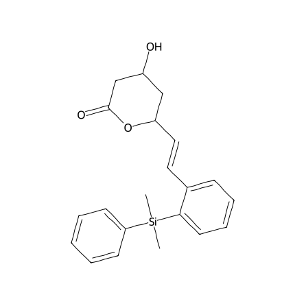 C[Si](C)(c1ccccc1)c1ccccc1C=CC1CC(O)CC(=O)O1